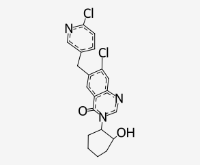 O=c1c2cc(Cc3ccc(Cl)nc3)c(Cl)cc2ncn1C1CCCCC1O